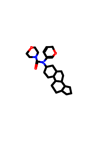 O=C(N1CCOCC1)N(C1=COCC=C1)C1CCC2C(CCC3C4CCCC4CCC23)C1